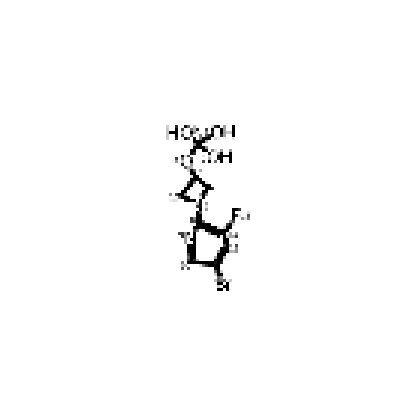 OC(O)(O)OC1CN(c2ncc(Br)cc2F)C1